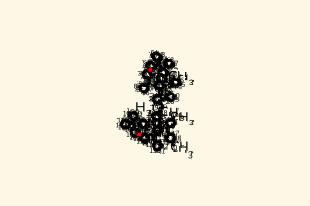 Cc1ccc(N2c3ccc(C)cc3B3c4cc(C(C)(C)Cc5cccc6c5c5ccccc5n6-c5cc6c7c(c5)N(c5c(C)cccc5C)c5ccc([Si](c8ccccc8)(c8ccccc8)c8ccccc8)cc5B7c5ccccc5N6c5ccccc5)ccc4N(c4ccc([Si](c5ccccc5)(c5ccccc5)c5ccccc5)cc4C)c4cc(N(c5ccccc5)c5ccccc5)cc2c43)cc1